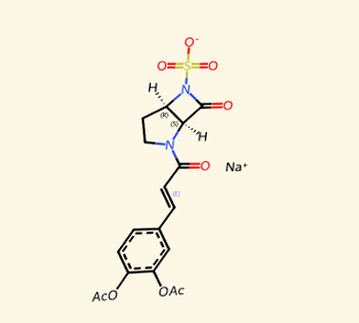 CC(=O)Oc1ccc(/C=C/C(=O)N2CC[C@@H]3[C@H]2C(=O)N3S(=O)(=O)[O-])cc1OC(C)=O.[Na+]